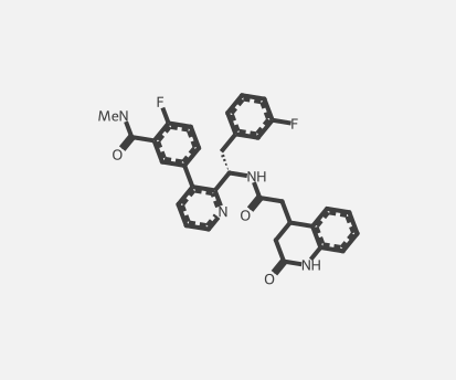 CNC(=O)c1cc(-c2cccnc2[C@H](Cc2cccc(F)c2)NC(=O)CC2CC(=O)Nc3ccccc32)ccc1F